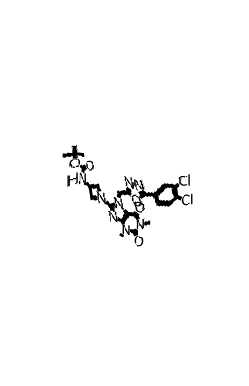 Cn1c(=O)c2c(nc(N3CC(NC(=O)OC(C)(C)C)C3)n2Cc2nnc(-c3ccc(Cl)c(Cl)c3)o2)n(C)c1=O